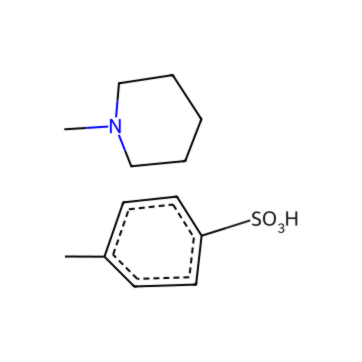 CN1CCCCC1.Cc1ccc(S(=O)(=O)O)cc1